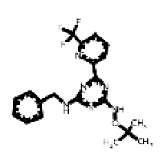 CC(C)(C)ONc1nc(NCc2ccccc2)nc(-c2cccc(C(F)(F)F)n2)n1